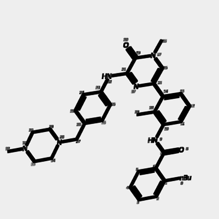 CCCCc1ccccc1C(=O)Nc1cccc(-c2cn(C)c(=O)c(Nc3ccc(CN4CCN(C)CC4)cc3)n2)c1C